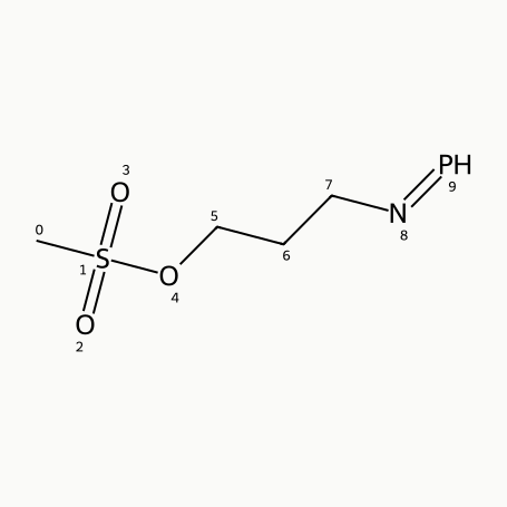 CS(=O)(=O)OCCCN=P